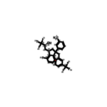 Cc1cccc(C2(Cc3cccc(C(F)(F)F)c3)CN(C[C@@H](O)C(F)(F)F)c3c(F)cccc32)c1